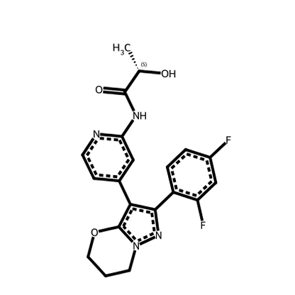 C[C@H](O)C(=O)Nc1cc(-c2c(-c3ccc(F)cc3F)nn3c2OCCC3)ccn1